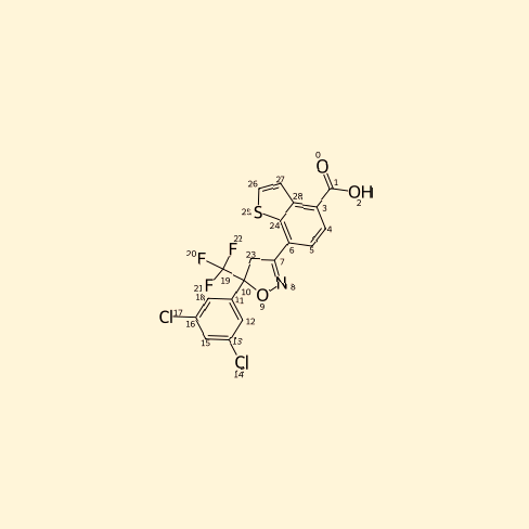 O=C(O)c1ccc(C2=NOC(c3cc(Cl)cc(Cl)c3)(C(F)(F)F)C2)c2sccc12